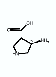 N[C@@H]1CCNC1.O=CO